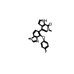 Cn1cc(-c2ccc3c(ncn3C)c2Oc2ccc(F)cc2)c2cc[nH]c2c1=O